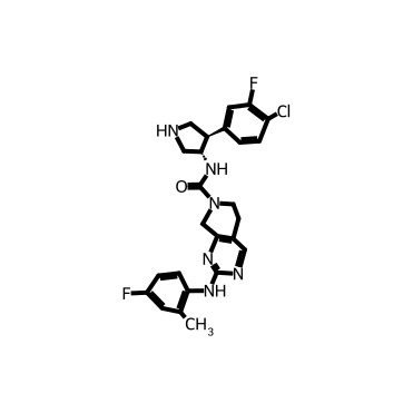 Cc1cc(F)ccc1Nc1ncc2c(n1)CN(C(=O)N[C@@H]1CNC[C@H]1c1ccc(Cl)c(F)c1)CC2